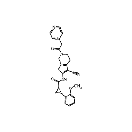 COc1ccccc1C1CC1C(=O)Nc1sc2c(c1C#N)CCN(C(=O)Cc1ccncc1)C2